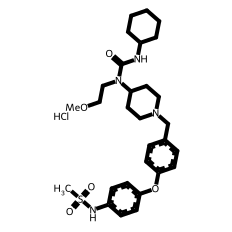 COCCN(C(=O)NC1CCCCC1)C1CCN(Cc2ccc(Oc3ccc(NS(C)(=O)=O)cc3)cc2)CC1.Cl